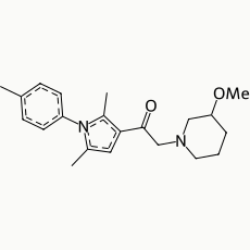 COC1CCCN(CC(=O)c2cc(C)n(-c3ccc(C)cc3)c2C)C1